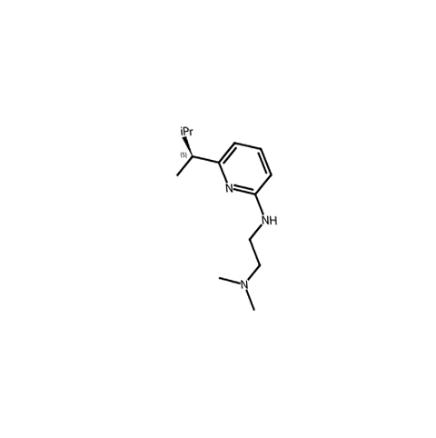 CC(C)[C@H](C)c1cccc(NCCN(C)C)n1